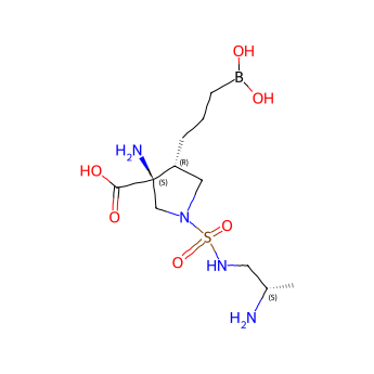 C[C@H](N)CNS(=O)(=O)N1C[C@@H](CCCB(O)O)[C@@](N)(C(=O)O)C1